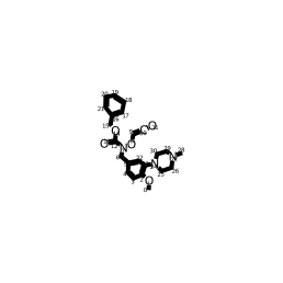 COc1ccc(CN(OC=C=O)C(=O)OCc2ccccc2)cc1N1CCN(C)CC1